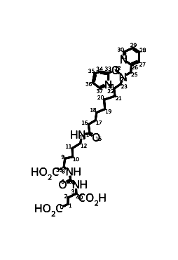 O=C(O)CC[C@H](NC(=O)N[C@H](CCCCNC(=O)CCCCCCCCN(Cc1ccccn1)Oc1ccccn1)C(=O)O)C(=O)O